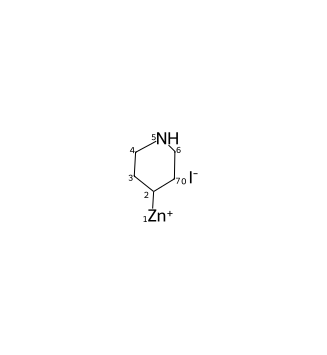 [I-].[Zn+][CH]1CCNCC1